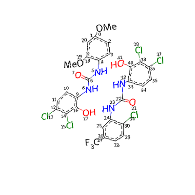 COc1ccc(NC(=O)Nc2ccc(Cl)c(Cl)c2O)c(OC)c1.O=C(Nc1cc(C(F)(F)F)ccc1Cl)Nc1ccc(Cl)c(Cl)c1O